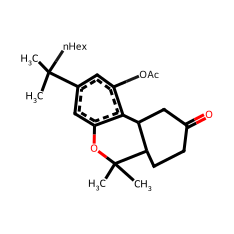 CCCCCCC(C)(C)c1cc(OC(C)=O)c2c(c1)OC(C)(C)C1CCC(=O)CC21